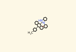 Cc1ccc(-c2c3ccccc3c(C3Nc4ccccc4N3c3ccccc3)c3ccccc23)cc1